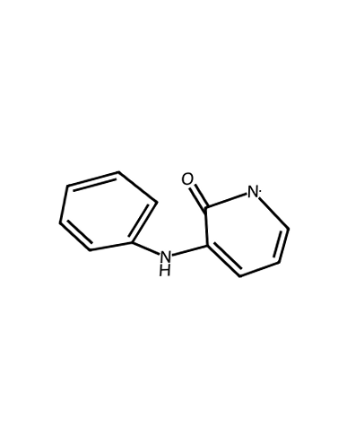 O=C1[N]C=CC=C1Nc1ccccc1